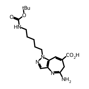 CC(C)(C)OC(=O)NCCCCCn1ncc2c1C=C(C(=O)O)CC(N)=N2